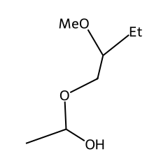 CCC(COC(C)O)OC